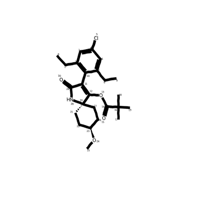 CCc1cc(Cl)cc(CC)c1C1=C(OC(=O)C(C)(C)C)[C@]2(CC[C@H](OC)CC2)NC1=O